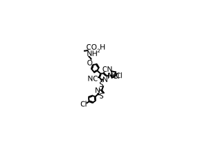 CC(NCCOc1ccc(-c2c(C#N)c(SCc3csc(-c4ccc(Cl)cc4)n3)nc(N3CCCC3)c2C#N)cc1)C(=O)O.Cl.Cl